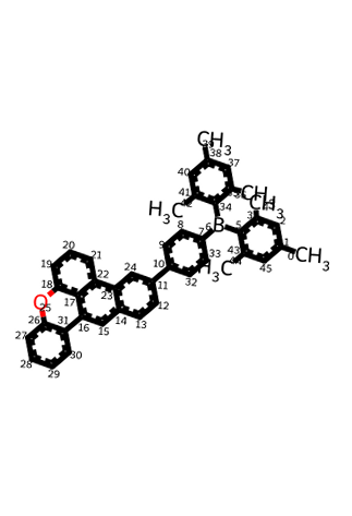 Cc1cc(C)c(B(c2ccc(-c3ccc4cc5c6c(cccc6c4c3)Oc3ccccc3-5)cc2)c2c(C)cc(C)cc2C)c(C)c1